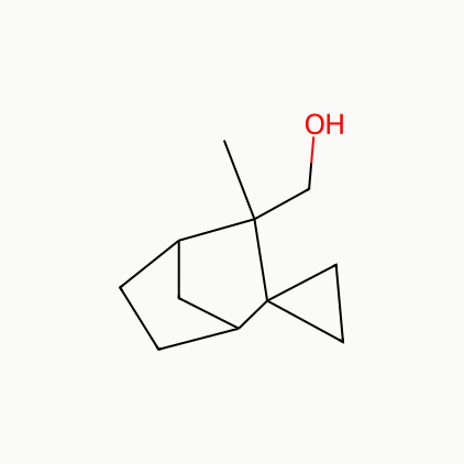 CC1(CO)C2CCC(C2)C12CC2